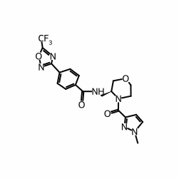 Cn1ccc(C(=O)N2CCOC[C@@H]2CNC(=O)c2ccc(-c3noc(C(F)(F)F)n3)cc2)n1